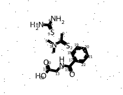 CC(=S)N(C)C.NC(N)=S.O=C(O)CNC(=O)c1ccccc1